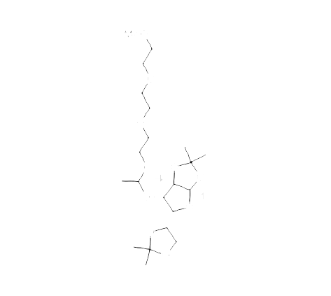 COCCOCCOCCOC(C)O[C@@H]1[C@H]2OC(C)(C)O[C@H]2O[C@@H]1C1COC(C)(C)O1